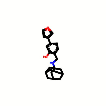 Oc1cc(-c2ccoc2)ccc1CNC12CC3CC(CC(C3)C1)C2